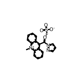 C[n+]1c2ccccc2c(C(=O)n2cccn2)c2ccccc21.O=S(=O)([O-])F